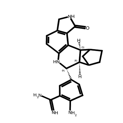 N=C(N)c1cc([C@@H]2Nc3ccc4c(c3[C@H]3C5CCC(C5)[C@@H]23)C(=O)NC4)ccc1N